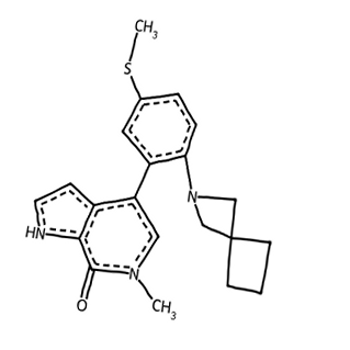 CSc1ccc(N2CC3(CCC3)C2)c(-c2cn(C)c(=O)c3[nH]ccc23)c1